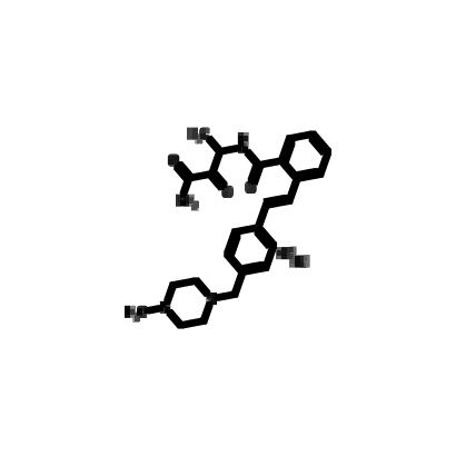 CC(NC(=O)c1ccccc1C=Cc1ccc(CN2CCN(C)CC2)cc1)C(=O)C(N)=O.Cl.Cl